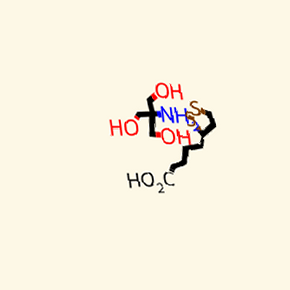 NC(CO)(CO)CO.O=C(O)CCCC[C@@H]1CCSS1